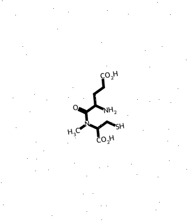 CN(C(=O)C(N)CCC(=O)O)C(CS)C(=O)O